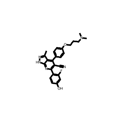 Cc1n[nH]c2nc(-c3ccc(O)cc3F)c(C#N)c(-c3ccc(OCCCN(C)C)cc3)c12